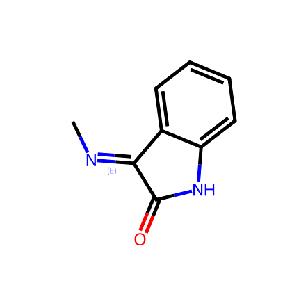 C/N=C1/C(=O)Nc2ccccc21